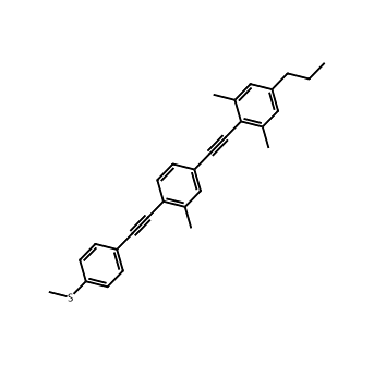 CCCc1cc(C)c(C#Cc2ccc(C#Cc3ccc(SC)cc3)c(C)c2)c(C)c1